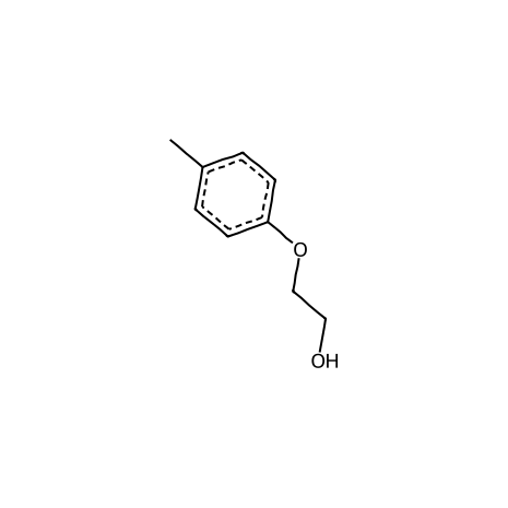 Cc1ccc(OCCO)cc1